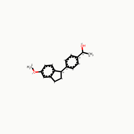 COc1ccc2c(c1)CCC2c1ccc(C(C)O)cc1